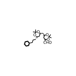 CC1(C)O[C@@H](C[C@@H]2C[C@H](C=O)OC(C)(C)O2)C[C@H](CCCc2ccccc2)O1